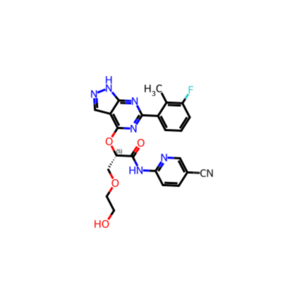 Cc1c(F)cccc1-c1nc(O[C@@H](COCCO)C(=O)Nc2ccc(C#N)cn2)c2cn[nH]c2n1